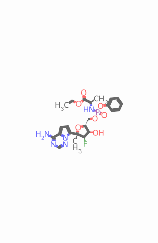 CCOC(=O)[C@@H](C)NP(=O)(OC[C@H]1O[C@](C)(c2ccc3c(N)ncnn23)[C@H](F)[C@@H]1O)Oc1ccccc1